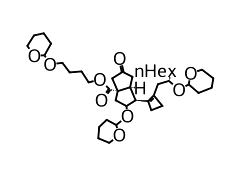 CCCCCC[C@@H](CC1=C([C@H]2C(OC3CCCCO3)C[C@@]3(C(=O)OCCCCOC4CCCCO4)CC(=O)C[C@@H]23)CC1)OC1CCCCO1